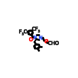 Cc1ccc(C[C@@H]2CN(CCOCC=O)CCN2C(=O)c2cc(C(F)(F)F)cc(C(F)(F)F)c2)cc1C